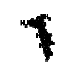 C=CCOc1c(C(=O)Nc2ccc(C(=O)OCC)cc2)ccc(NC(=O)c2ccc(NC(=O)[C@H](CC(N)=O)NC(=O)c3ccc(N)cc3)cc2)c1OC(C)C